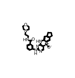 O=C(NCCN1CCOCC1)c1cccc(Nc2ncc([N+](=O)[O-])c(Nc3ccc4c(c3)CCC4)n2)c1